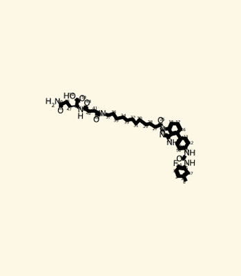 Cc1ccc(F)c(NC(=O)Nc2ccc(-c3cccc4c3c(N)nn4C(=O)CCCCCCCCCCCNC(=O)CCC(=O)N[C@@H](CCC(N)=O)C(=O)O)cc2)c1